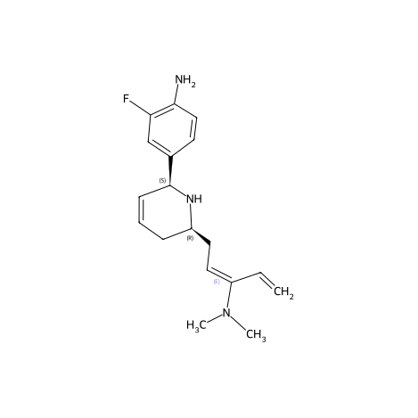 C=C/C(=C\C[C@H]1CC=C[C@@H](c2ccc(N)c(F)c2)N1)N(C)C